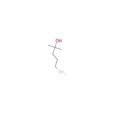 BCCCC(C)(C)O